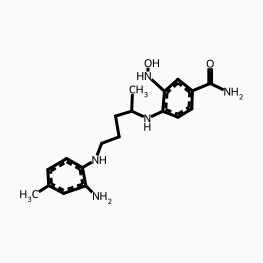 Cc1ccc(NCCCC(C)Nc2ccc(C(N)=O)cc2NO)c(N)c1